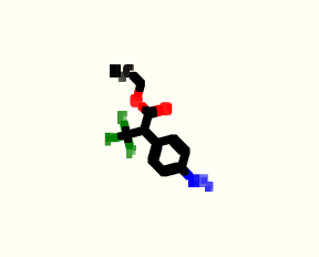 CCOC(=O)C(c1ccc(N)cc1)C(F)(F)F